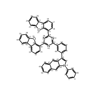 c1ccc(-n2cc(-c3cccc(-c4nc(-c5cccc6c5oc5ccccc56)nc(-c5cccc6c5oc5ccccc56)n4)c3)c3cc4ccccc4cc32)cc1